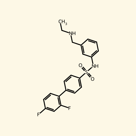 CCNCc1cccc(NS(=O)(=O)c2ccc(-c3ccc(F)cc3F)cc2)c1